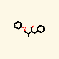 CC(COc1ccccc1)C(CO)Cc1ccccc1